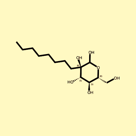 CCCCCCCC[C@]1(O)C(O)O[C@H](CO)[C@@H](O)[C@@H]1O